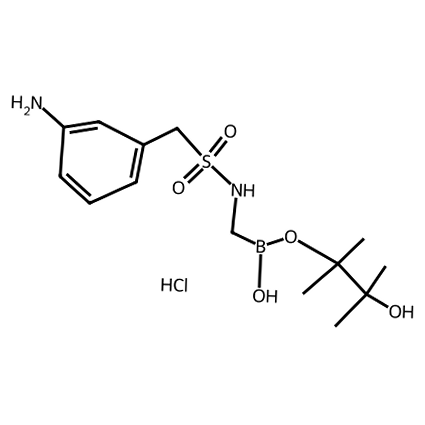 CC(C)(O)C(C)(C)OB(O)CNS(=O)(=O)Cc1cccc(N)c1.Cl